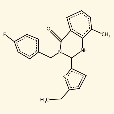 CCc1ccc(C2Nc3c(C)cccc3C(=O)N2Cc2ccc(F)cc2)s1